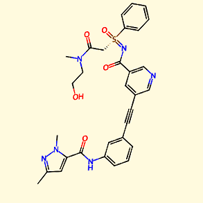 Cc1cc(C(=O)Nc2cccc(C#Cc3cncc(C(=O)N=[S@](=O)(CC(=O)N(C)CCO)c4ccccc4)c3)c2)n(C)n1